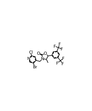 CC1C(c2cc(C(F)(F)F)cc(C(F)(F)F)c2)OC(=O)N1Cc1cc(Cl)ncc1Br